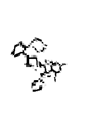 C[C@@H](n1cc(-c2ccccc2N2CCOCC2)cn1)[C@](O)(Cn1cncn1)c1ccc(F)cc1F